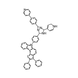 C1=CC(C2NC(c3ccc(-n4c5ccccc5c5c6sc(-c7ccccc7)c(-c7ccccc7)c6ccc54)cc3)N3C(c4ccc(-c5ccncc5)cc4)N23)=CCN1